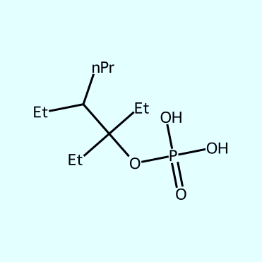 CCCC(CC)C(CC)(CC)OP(=O)(O)O